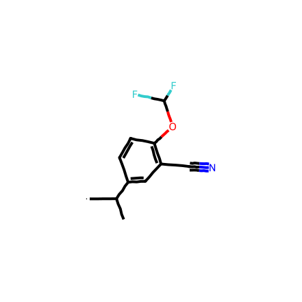 [CH2]C(C)c1ccc(OC(F)F)c(C#N)c1